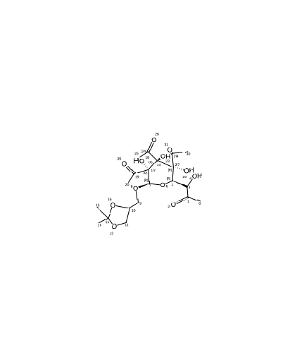 CC(=O)C(O)[C@H]1O[C@@H](OCC2COC(C)(C)O2)[C@@](O)(C(C)=O)[C@](O)(C(C)=O)[C@@]1(O)C(C)=O